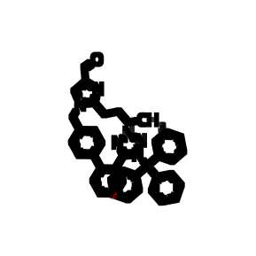 CCCCc1nc(C=O)cn1Cc1ccc(-c2ccccc2-c2nnnn2C(c2ccccc2)(c2ccccc2)c2ccccc2)cc1